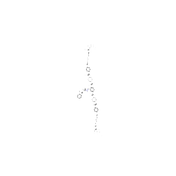 C=CC(=O)OCCCCCCOc1ccc(OC(=O)[C@H]2CC[C@H](C(=O)Oc3ccc(OC(=O)[C@H]4CC[C@H](C(=O)Oc5ccc(OCCCCCCOC(=O)C=C)cc5)CC4)c(/C=N/N(O)c4nc5ccccc5s4)c3)CC2)cc1